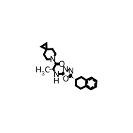 C[C@@H](Nc1nnc([C@H]2CCc3ccccc3C2)o1)C(=O)N1CCC2(CC1)CC2